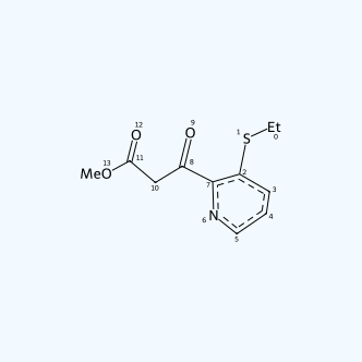 CCSc1cccnc1C(=O)CC(=O)OC